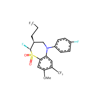 COc1cc2c(cc1C(F)(F)F)N(c1ccc(F)cc1)C[C@H](CCC(F)(F)F)[C@H](F)S2(=O)=O